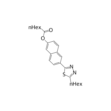 CCCCCCC(=O)Oc1ccc2cc(-c3nnc(CCCCCC)s3)ccc2c1